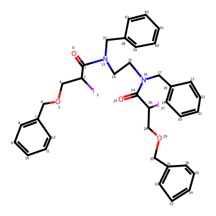 O=C(C(I)COCc1ccccc1)N(CCN(Cc1ccccc1)C(=O)C(I)COCc1ccccc1)Cc1ccccc1